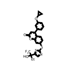 CCC(O)(c1cnc(Sc2ccc3c(-c4cccc(OC5CC5)c4)cc(=O)oc3c2)s1)C(F)(F)F